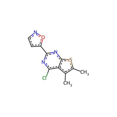 Cc1sc2nc(-c3ccno3)nc(Cl)c2c1C